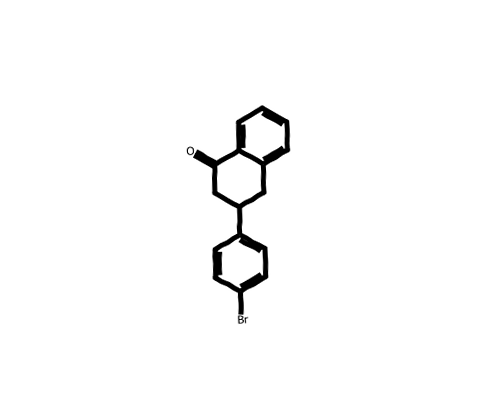 O=C1CC(c2ccc(Br)cc2)Cc2ccccc21